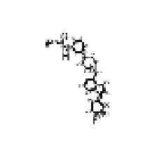 CC(C)C(=O)Nc1cccc(C2CCN(Cc3cccc4c3ccn4-c3ccc(F)c(F)c3)CC2)c1